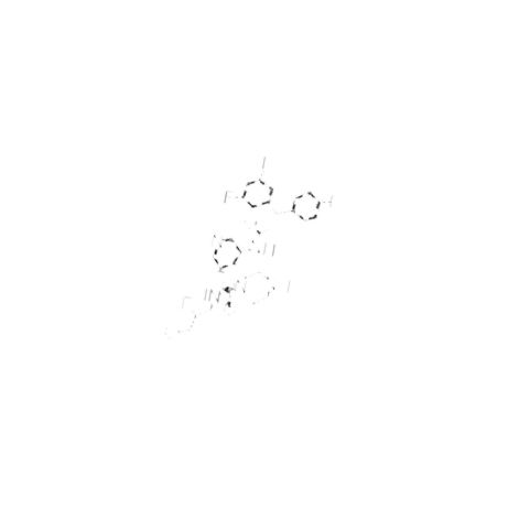 O=C(C[C@@H](c1ccc(F)cc1)c1cc(F)cc(F)c1)Nc1cncc(F)c1[C@H]1CNCCN1S(=O)(=O)NCC(F)CCl